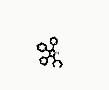 C/C=C\C(=C/C)c1[nH]c(-c2ccccc2)c(-c2ccccc2)c1-c1ccccc1